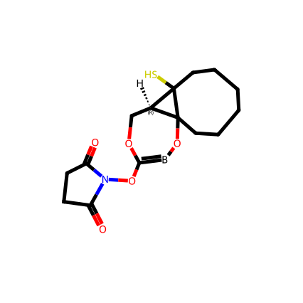 O=C1CCC(=O)N1OC1=BOC23CCCCCCC2(S)[C@@H]3CO1